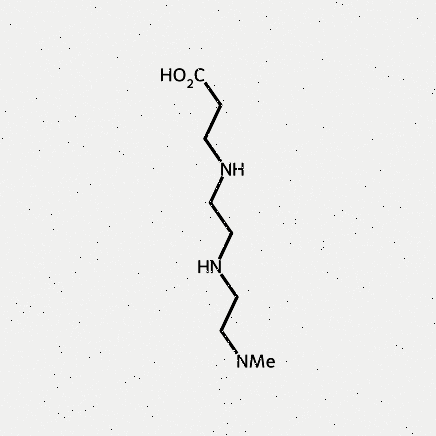 CNCCNCCNCCC(=O)O